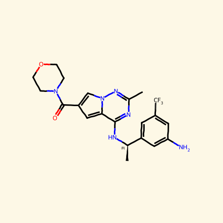 Cc1nc(N[C@H](C)c2cc(N)cc(C(F)(F)F)c2)c2cc(C(=O)N3CCOCC3)cn2n1